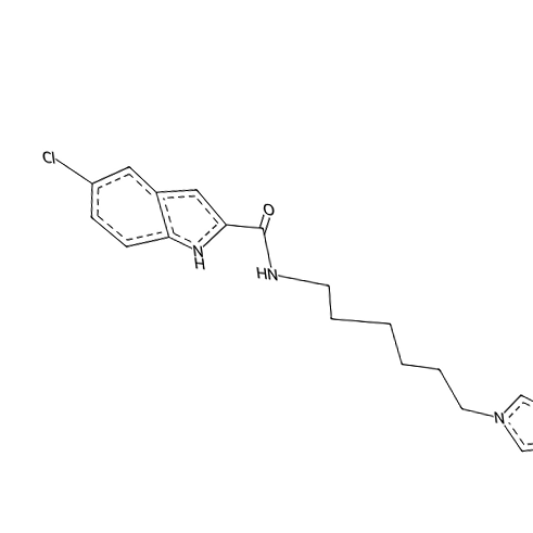 O=C(NCCCCCCn1ccnc1)c1cc2cc(Cl)ccc2[nH]1